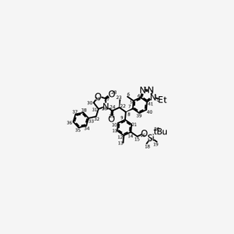 CCn1nnc2c(C)c([C@@H](c3ccc(C)c(CO[Si](C)(C)C(C)(C)C)c3)[C@H](C)C(=O)N3C(=O)OCC3Cc3ccccc3)ccc21